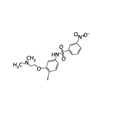 CN(C)CCOc1cc(NS(=O)(=O)c2cccc([N+](=O)[O-])c2)ccc1I